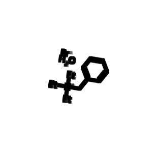 CC[N+](CC)(CC)Cc1ccccc1.O.[Br-]